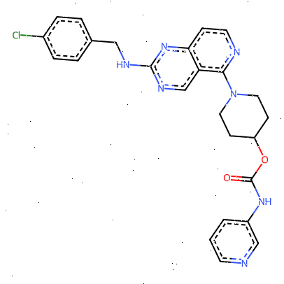 O=C(Nc1cccnc1)OC1CCN(c2nccc3nc(NCc4ccc(Cl)cc4)ncc23)CC1